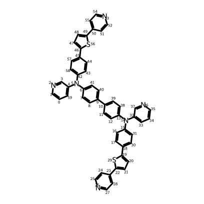 c1cncc(N(c2ccc(-c3ccc(N(c4ccc(-c5ccc(-c6ccncc6)s5)cc4)c4cccnc4)cc3)cc2)c2ccc(-c3ccc(-c4ccncc4)s3)cc2)c1